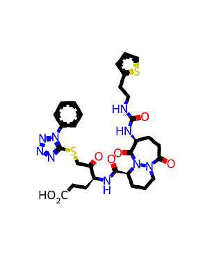 O=C(O)CC[C@H](NC(=O)[C@@H]1CCCN2C(=O)CC[C@H](NC(=O)NCCc3cccs3)C(=O)N12)C(=O)CSc1nnnn1-c1ccccc1